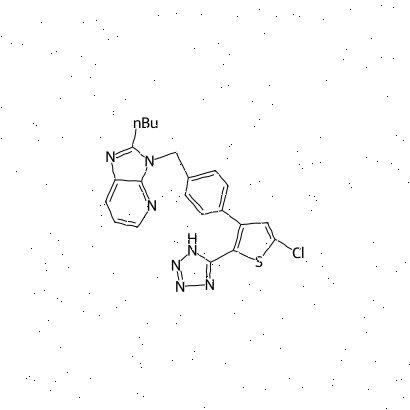 CCCCc1nc2cccnc2n1Cc1ccc(-c2cc(Cl)sc2-c2nnn[nH]2)cc1